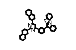 c1cc(-c2cc(-c3ccc4ccccc4c3)nc(-c3ccc4ccccc4c3)n2)cc(-c2c3ccccc3n3c2sc2ccccc23)c1